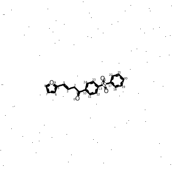 O=C(CC=Cc1ccco1)c1ccc(S(=O)(=O)c2ccccc2)cc1